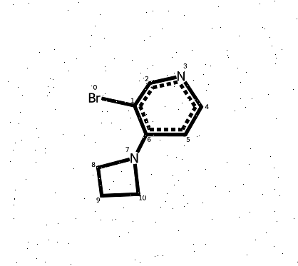 Brc1cnccc1N1CCC1